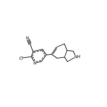 N#Cc1cc(C2=CCC3CNCC3C2)cnc1Cl